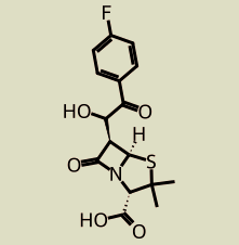 CC1(C)S[C@@H]2[C@H](C(O)C(=O)c3ccc(F)cc3)C(=O)N2[C@H]1C(=O)O